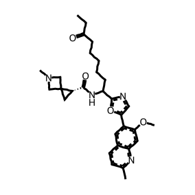 CCC(=O)CCCCCC(NC(=O)[C@@H]1CC12CN(C)C2)c1ncc(-c2cc3ccc(C)nc3cc2OC)o1